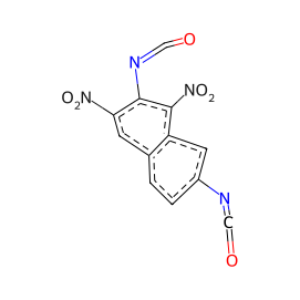 O=C=Nc1ccc2cc([N+](=O)[O-])c(N=C=O)c([N+](=O)[O-])c2c1